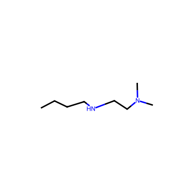 CCCCNCCN(C)C